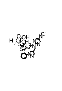 [C-]#[N+]c1cnc(N(CCc2csc(SC(C)(C)C(=O)O)n2)Cc2cnn(-c3ccccc3)c2)nc1